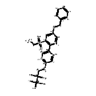 CCS(=O)(=O)c1cc(OCc2ccccc2)cnc1-c1cnc(OCC(F)(F)C(F)(F)F)cn1